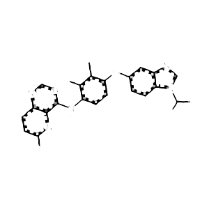 Cc1c(Oc2ccc3c(c2)ncn3C(F)F)ccc(Nc2ncnc3ccc(Cl)nc23)c1F